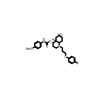 COc1ccc(NC(=S)O[C@H]2CCN(CCCOc3ccc(F)cc3)C3CCCC[C@H]32)cc1.Cl